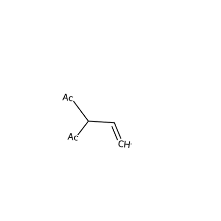 [CH]=CC(C(C)=O)C(C)=O